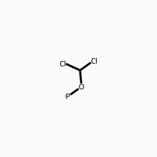 [P]OC(Cl)Cl